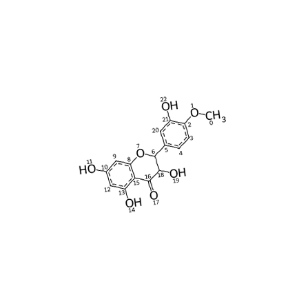 COc1ccc(C2Oc3cc(O)cc(O)c3C(=O)C2O)cc1O